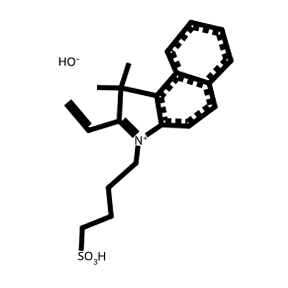 C=CC1=[N+](CCCCS(=O)(=O)O)c2ccc3ccccc3c2C1(C)C.[OH-]